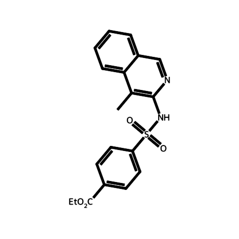 CCOC(=O)c1ccc(S(=O)(=O)Nc2ncc3ccccc3c2C)cc1